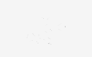 O=C(NC1CC1)C(=O)[C@H](Cc1ccccc1)NC(=O)c1cncn1-c1nc2ccccc2[nH]1